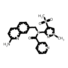 Cn1cc(S(C)(=O)=O)c(N(Cc2ccc3ccc(N)nc3c2)C(=O)c2cccnc2)n1